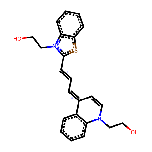 OCCN1C=C/C(=C\C=C\c2sc3ccccc3[n+]2CCO)c2ccccc21